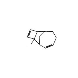 CC12C=CC1C1CCC=CC2C1